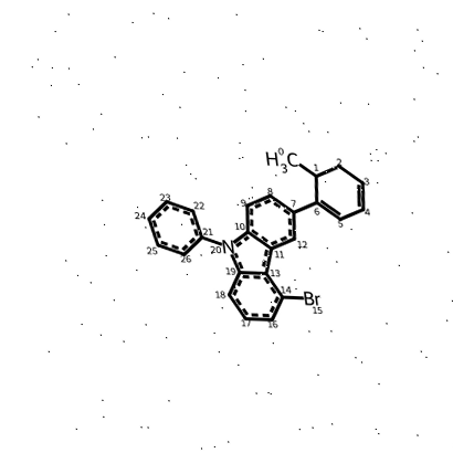 CC1CC=CC=C1c1ccc2c(c1)c1c(Br)cccc1n2-c1ccccc1